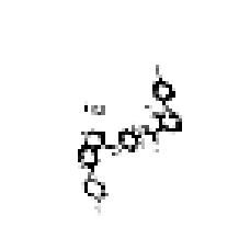 Cl.O=C(Nc1ccc(Oc2ccnc3cnc(N4CCNCC4)cc23)cn1)c1cccn(-c2ccc(F)cc2)c1=O